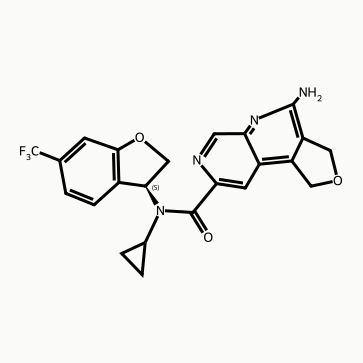 Nc1nc2cnc(C(=O)N(C3CC3)[C@@H]3COc4cc(C(F)(F)F)ccc43)cc2c2c1COC2